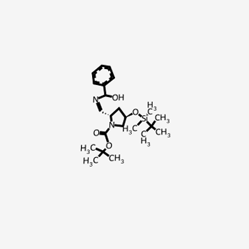 CC(C)(C)OC(=O)N1C[C@H](O[Si](C)(C)C(C)(C)C)C[C@H]1/C=N\C(O)c1ccccc1